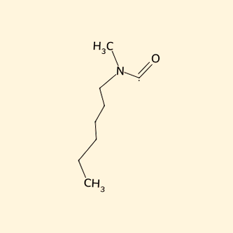 CCCCCCN(C)[C]=O